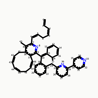 C=C/C=C\C/C=C\c1nc(/C(=C2\C=CC=CC2C)c2ccccc2Cc2cccc(-c3ccncc3)n2)c2c(c1C)C/C=C\C=C/C/C=C\2